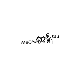 COCCN1C=Cc2cc(S(=O)(=O)NC(C)(C)C)sc2S1